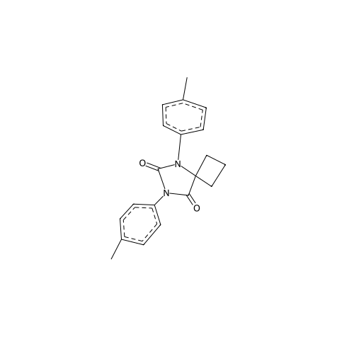 Cc1ccc(N2C(=O)N(c3ccc(C)cc3)C3(CCC3)C2=O)cc1